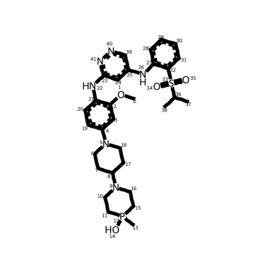 COc1cc(N2CCC(N3CC[P](C)(O)CC3)CC2)ccc1Nc1cc(Nc2ccccc2S(=O)(=O)C(C)C)cnn1